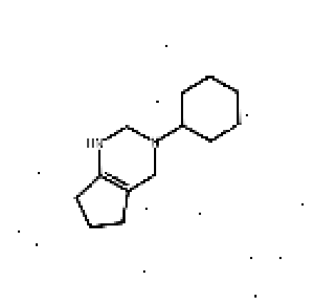 C1CCC(N2CNC3=C(CCC3)C2)CC1